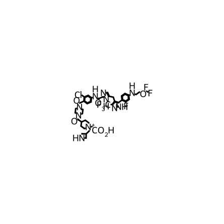 O=C(O)C[N+]1(CC2CNC2)CCC(C(=O)N2CCN(C(=O)c3ccc(NC(=O)c4ncc(Cc5c(C(F)(F)F)n[nH]c5-c5ccc(NCCOC(F)F)cc5F)[nH]4)cc3Cl)CC2)CC1